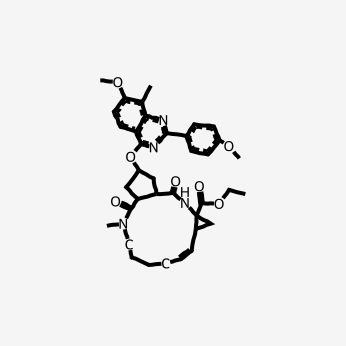 CCOC(=O)C12CC1C=CCCCCN(C)C(=O)C1CC(Oc3nc(-c4ccc(OC)cc4)nc4c(C)c(OC)ccc34)CC1C(=O)N2